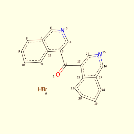 Br.O=C(c1cncc2ccccc12)c1cncc2ccccc12